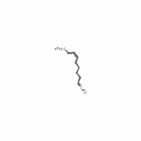 CCCCCC/C=C\CCCCC=C=O